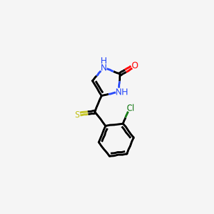 O=c1[nH]cc(C(=S)c2ccccc2Cl)[nH]1